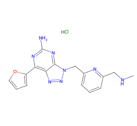 CNCc1cccc(Cn2nnc3c(-c4ccco4)nc(N)nc32)n1.Cl